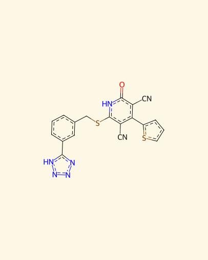 N#Cc1c(SCc2cccc(-c3nnn[nH]3)c2)[nH]c(=O)c(C#N)c1-c1cccs1